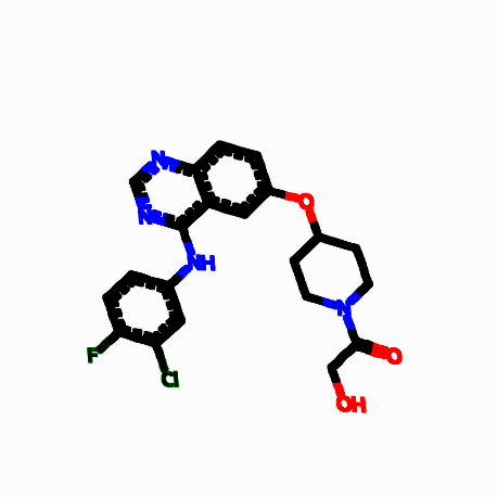 O=C(CO)N1CCC(Oc2ccc3ncnc(Nc4ccc(F)c(Cl)c4)c3c2)CC1